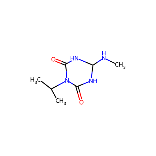 CNC1NC(=O)N(C(C)C)C(=O)N1